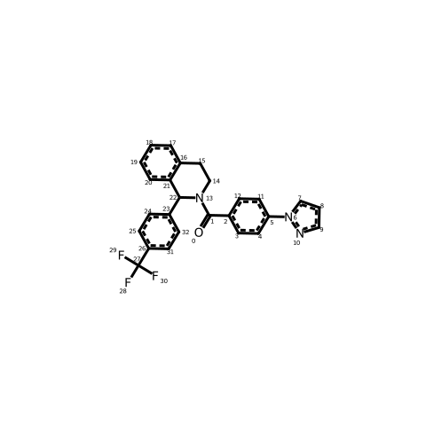 O=C(c1ccc(-n2cccn2)cc1)N1CCc2ccccc2C1c1ccc(C(F)(F)F)cc1